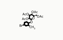 CC(=O)OC[C@H]1O[C@H](Oc2ccc(Br)cc2C)[C@@H](OC(C)=O)[C@@H](OC(C)=O)[C@@H]1OC(C)=O